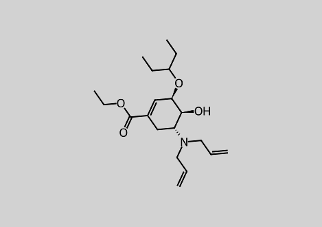 C=CCN(CC=C)[C@@H]1CC(C(=O)OCC)=C[C@@H](OC(CC)CC)[C@H]1O